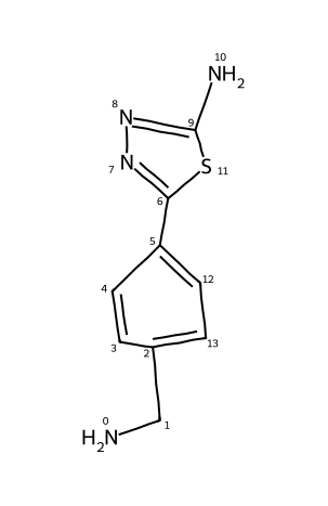 NCc1ccc(-c2nnc(N)s2)cc1